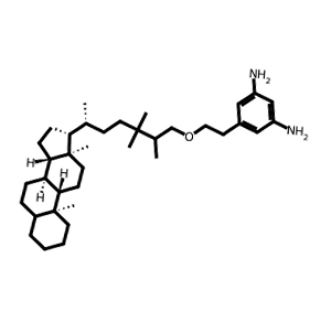 CC(COCCc1cc(N)cc(N)c1)C(C)(C)CC[C@@H](C)[C@H]1CC[C@H]2[C@@H]3CCC4CCCC[C@]4(C)[C@H]3CC[C@]12C